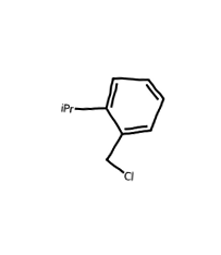 [CH2]C(C)c1ccccc1CCl